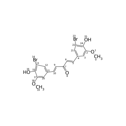 COc1cc(/C=C/C(=O)/C=C/c2cc(Br)c(O)c(OC)c2)cc(Br)c1O